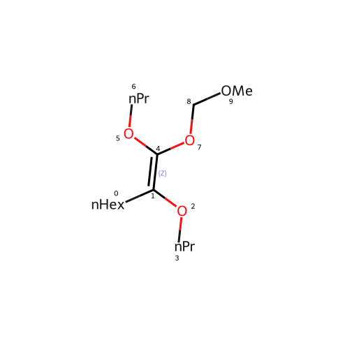 CCCCCC/C(OCCC)=C(\OCCC)OCOC